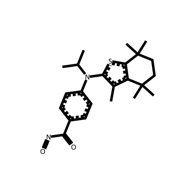 Cc1c(N(c2ccc(C(=O)N=O)cc2)C(C)C)sc2c1C(C)(C)CCC2(C)C